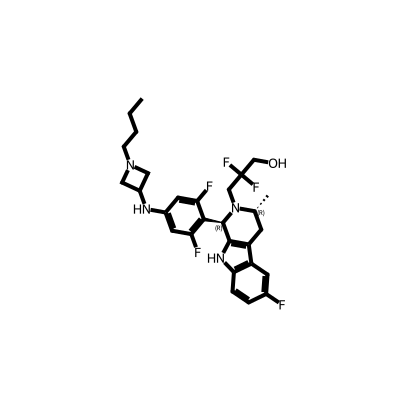 CCCCN1CC(Nc2cc(F)c([C@@H]3c4[nH]c5ccc(F)cc5c4C[C@@H](C)N3CC(F)(F)CO)c(F)c2)C1